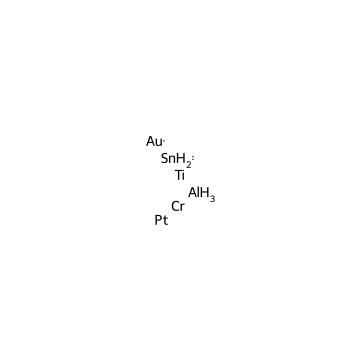 [AlH3].[Au].[Cr].[Pt].[SnH2].[Ti]